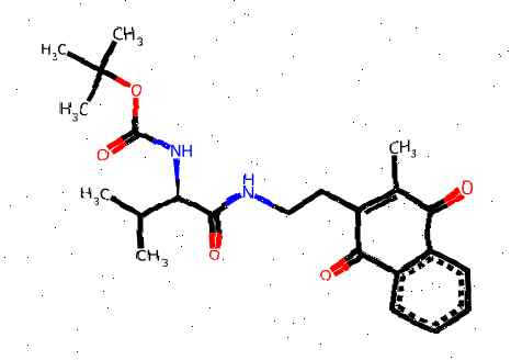 CC1=C(CCNC(=O)[C@H](NC(=O)OC(C)(C)C)C(C)C)C(=O)c2ccccc2C1=O